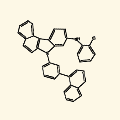 Clc1ccccc1Nc1ccc2c3c4ccccc4ccc3n(-c3cccc(-c4cccc5ccccc45)c3)c2c1